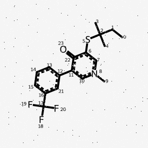 CCC(C)(C)Sc1cn(C)cc(-c2cccc(C(F)(F)F)c2)c1=O